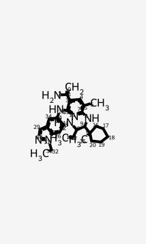 C=C(N)c1cc(C)c(NC(C(N)CC)C2(C)CCCCC2)nc1Nc1ccc2c(cnn2CC)c1